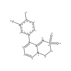 Cc1ccc(C2=CC=CN3CCS(=O)(=O)N=C23)cc1F